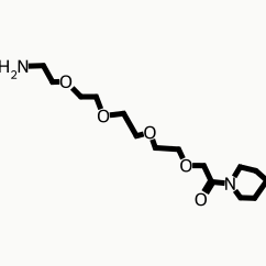 NCCOCCOCCOCCOCC(=O)N1CCCCC1